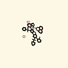 Cc1ccccc1-c1cc2c(cc1C(C)(C)c1ccccc1)-c1cc(C(C)(C)c3ccccc3)c(-c3ccccc3C)[c]([Zr+2]([C]3=CC=CC3)=[C](Cc3ccccc3)Cc3ccccc3)c1C2.[Cl-].[Cl-]